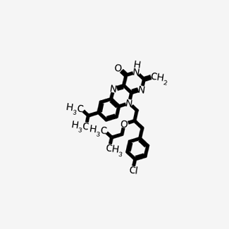 C=c1nc2c(c(=O)[nH]1)=Nc1cc(C(C)C)ccc1N2CC(Cc1ccc(Cl)cc1)OCC(C)C